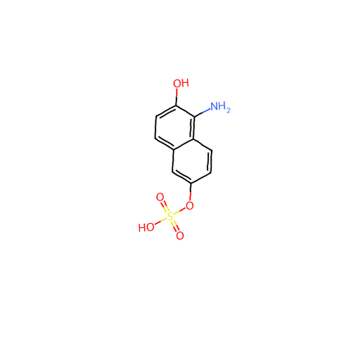 Nc1c(O)ccc2cc(OS(=O)(=O)O)ccc12